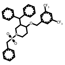 O=S(=O)(Cc1ccccc1)N1CCC(OCc2cc(C(F)(F)F)cc(C(F)(F)F)c2)C(C(c2ccccc2)c2ccccc2)C1